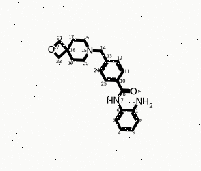 Nc1ccccc1NC(=O)c1ccc(CN2CCC3(CC2)COC3)cc1